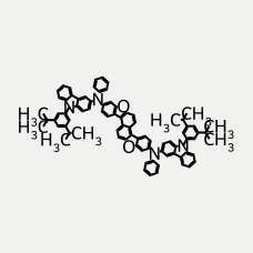 CC(C)c1cc(C(C)C)cc(-n2c3ccccc3c3cc(N(c4ccccc4)c4ccc5c(c4)oc4ccc6c(ccc7oc8cc(N(c9ccccc9)c9ccc%10c(c9)c9ccccc9n%10-c9cc(C(C)C)cc(C(C)C)c9)ccc8c76)c45)ccc32)c1